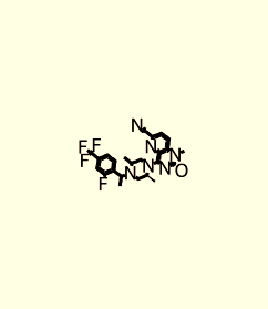 CC1CN(c2nc(=O)n(C)c3ccc(C#N)nc23)[C@@H](C)CN1C(C)c1ccc(C(F)(F)F)cc1F